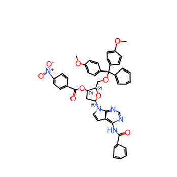 COc1ccc(C(OC[C@H]2O[C@@H](n3ccc4c(NC(=O)c5ccccc5)ncnc43)C[C@H]2OC(=O)c2ccc([N+](=O)[O-])cc2)(c2ccccc2)c2ccc(OC)cc2)cc1